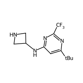 CC(C)(C)c1cc(NC2CNC2)nc(C(F)(F)F)n1